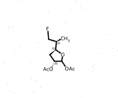 CC(=O)OC1O[C@H]([C@H](C)CF)C[C@H]1OC(C)=O